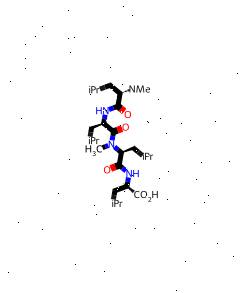 CN[C@@H](CC(C)C)C(=O)N[C@H](CC(C)C)C(=O)N(C)[C@@H](CC(C)C)C(=O)N[C@H](CC(C)C)C(=O)O